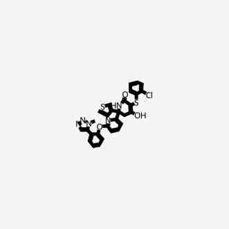 Cn1nncc1-c1ccccc1Oc1cccc(C2(c3ccsc3)CC(O)=C(Sc3ccccc3Cl)C(=O)N2)n1